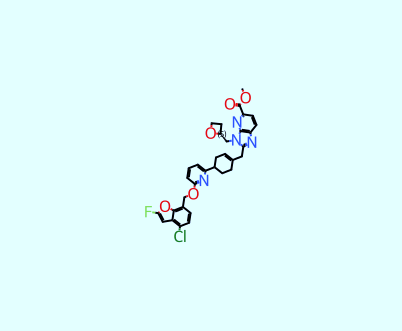 COC(=O)c1ccc2nc(CC3=CCC(c4cccc(OCc5ccc(Cl)c6cc(F)oc56)n4)CC3)n(C[C@@H]3CCO3)c2n1